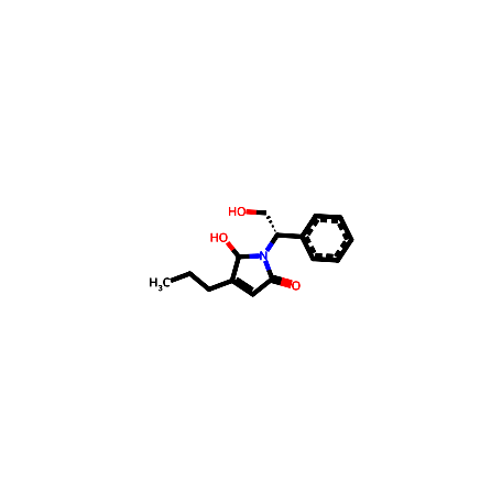 CCCC1=CC(=O)N([C@H](CO)c2ccccc2)C1O